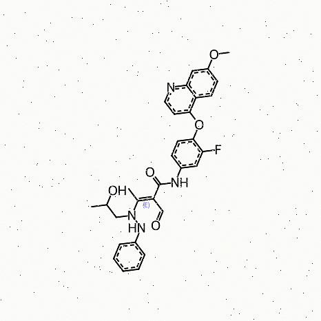 COc1ccc2c(Oc3ccc(NC(=O)/C(C=O)=C(\C)N(CC(C)O)Nc4ccccc4)cc3F)ccnc2c1